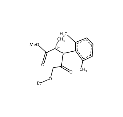 CCOCC(=O)N(c1c(C)cccc1C)[C@@H](C)C(=O)OC